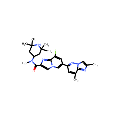 Cc1cn2nc(-c3cc(F)c4nc(C(=O)N(C)C5CC(C)(C)NC(C)(C)C5)cn4c3)cc(C)c2n1